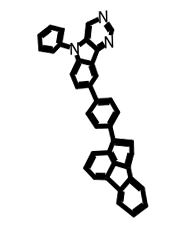 c1ccc(-n2c3ccc(-c4ccc(-c5ccc6c7c(cccc57)-c5ccccc5-6)cc4)cc3c3ncncc32)cc1